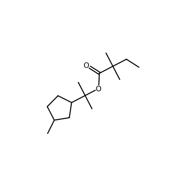 CCC(C)(C)C(=O)OC(C)(C)C1CCC(C)C1